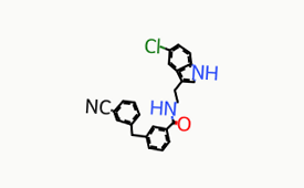 N#Cc1cccc(Cc2cccc(C(=O)NCCc3c[nH]c4ccc(Cl)cc34)c2)c1